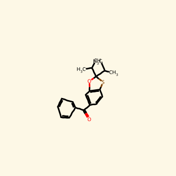 CC(C)C1(C(C)C)Oc2cc(C(=O)c3ccccc3)ccc2S1